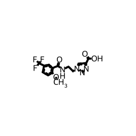 COc1ccc(C(F)(F)F)cc1C(=O)NCCn1cc(C(=O)O)nn1